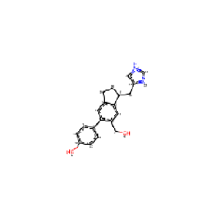 OCc1cc2c(cc1-c1ccc(O)cc1)CCC2Cc1c[nH]cn1